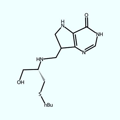 CCCCSC[C@H](CO)NCC1CNc2c1nc[nH]c2=O